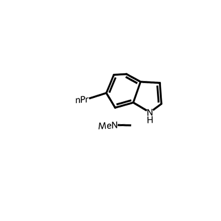 CCCc1ccc2cc[nH]c2c1.CNC